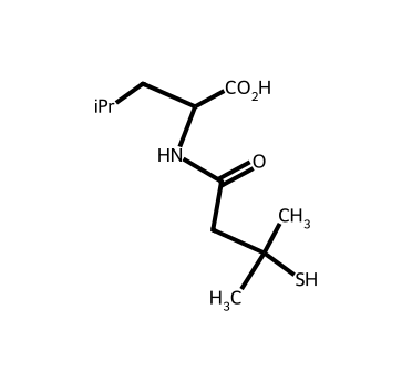 CC(C)CC(NC(=O)CC(C)(C)S)C(=O)O